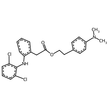 CN(C)c1ccc(CCOC(=O)Cc2ccccc2Nc2c(Cl)cccc2Cl)cc1